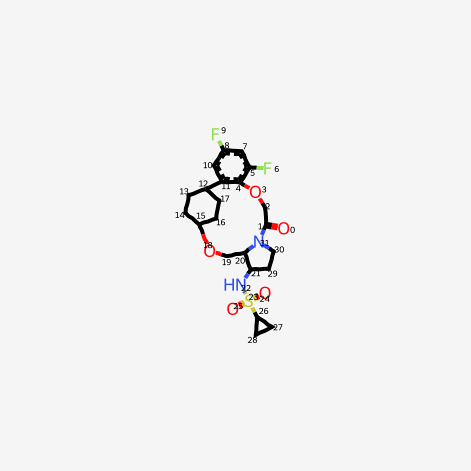 O=C1COc2c(F)cc(F)cc2C2CCC(CC2)OCC2C(NS(=O)(=O)C3CC3)CCN12